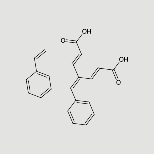 C=Cc1ccccc1.O=C(O)C=CC(C=CC(=O)O)=Cc1ccccc1